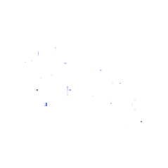 CCc1nc(NC(C)CN(C)c2ccc(C(F)(F)F)cc2)c(C(C)=N)c(=O)[nH]1